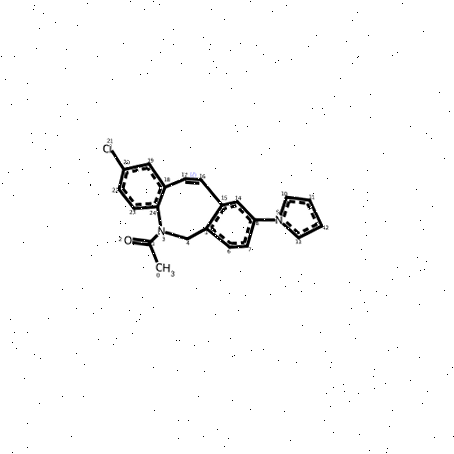 CC(=O)N1Cc2ccc(-n3cccc3)cc2/C=C\c2cc(Cl)ccc21